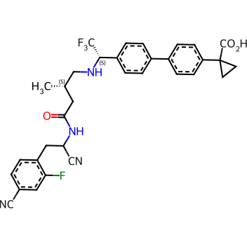 C[C@H](CN[C@@H](c1ccc(-c2ccc(C3(C(=O)O)CC3)cc2)cc1)C(F)(F)F)CC(=O)NC(C#N)Cc1ccc(C#N)cc1F